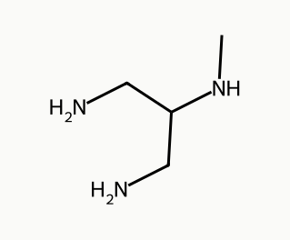 CNC(CN)CN